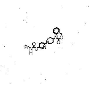 CC(C)NC(=O)Oc1ccc(N2CCC(N3C(=O)OCc4ccccc43)CC2)nc1